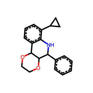 c1ccc(C2Nc3c(C4CC4)cccc3C3OCCOC23)cc1